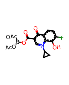 CC(=O)OB(OC(C)=O)OC(=O)c1cn(C2CC2)c2c(O)c(F)ccc2c1=O